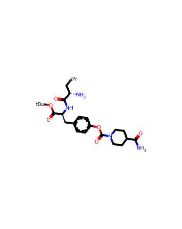 CC(C)C[C@H](N)C(=O)N[C@@H](Cc1ccc(OC(=O)N2CCC(C(N)=O)CC2)cc1)C(=O)OC(C)(C)C